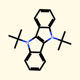 CC(C)(C)n1c2ccccc2c2c1c1ccccc1n2C(C)(C)C